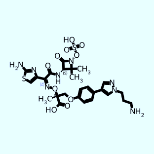 CC1(C)[C@H](NC(=O)/C(=N\O[C@](C)(COc2ccc(-c3cnn(CCCN)c3)cc2)C(=O)O)c2csc(N)n2)C(=O)N1OS(=O)(=O)O